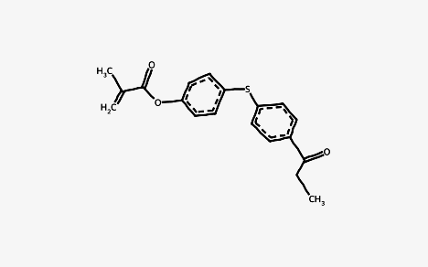 C=C(C)C(=O)Oc1ccc(Sc2ccc(C(=O)CC)cc2)cc1